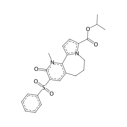 CC(C)OC(=O)c1ccc2n1CCCc1cc(S(=O)(=O)c3ccccc3)c(=O)n(C)c1-2